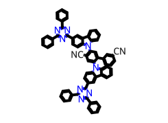 N#Cc1cccc(-c2cc(-n3c4ccccc4c4cc(-c5nc(-c6ccccc6)nc(-c6ccccc6)n5)ccc43)c(C#N)cc2-n2c3ccccc3c3cc(-c4nc(-c5ccccc5)nc(-c5ccccc5)n4)ccc32)c1